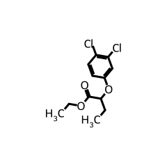 CCOC(=O)C(CC)Oc1ccc(Cl)c(Cl)c1